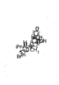 CC(C)C(NC(=O)C[C@@H](C)C1CC[C@H]2C3[C@H](O)CC4=CC(=O)CCC4(C)[C@H]3CCC12C)c1ccc(Br)s1